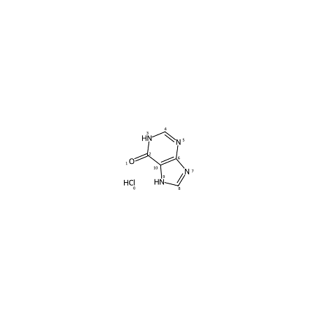 Cl.O=c1[nH]cnc2nc[nH]c12